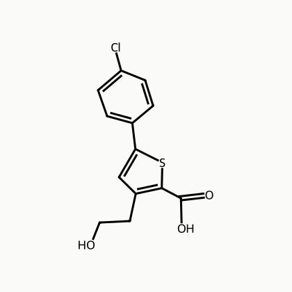 O=C(O)c1sc(-c2ccc(Cl)cc2)cc1CCO